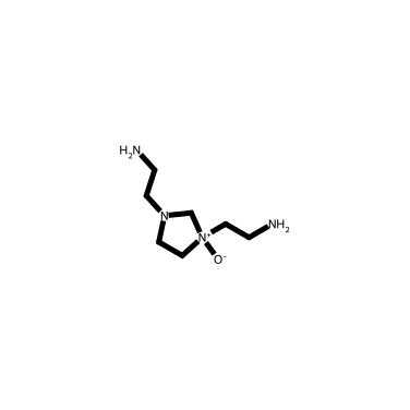 NCCN1CC[N+]([O-])(CCN)C1